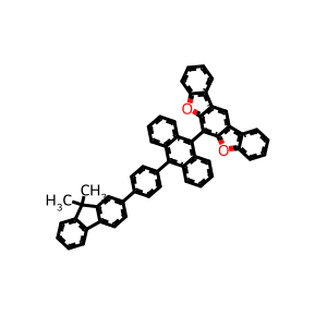 CC1(C)c2ccccc2-c2ccc(-c3ccc(-c4c5ccccc5c(-c5c6oc7ccccc7c6cc6c5oc5ccccc56)c5ccccc45)cc3)cc21